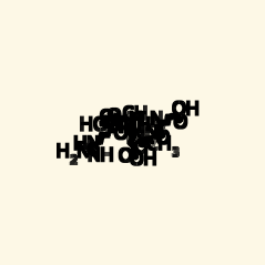 C[C@H](NC(=O)[C@H](CCC(=O)O)NC(=O)[C@H](C)NC(=O)[C@@H](N)CCC(=O)O)C(=O)N[C@@H](CCCNC(=N)N)C(=O)O